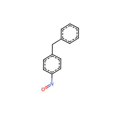 O=Nc1ccc(Cc2ccccc2)cc1